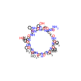 CCCC[C@H]1C(=O)N(C)CC(=O)N[C@@H](CC(=O)O)C(=O)N[C@@H](C(C)C)C(=O)N(C)[C@@H](Cc2ccccc2)C(=O)N[C@@H](Cc2ccc(O)cc2)C(=O)N(C)[C@@H](C)C(=O)N[C@@H](Cc2c[nH]c3ccccc23)C(=O)N[C@@H](Cc2ccc(O)cc2)C(=O)N[C@@H](CC(C)C)C(=O)N[C@H](C(=O)NCC(N)=O)CSCC(=O)N[C@@H](Cc2ccccc2)C(=O)N(C)[C@@H](Cc2ccccc2)C(=O)N1C